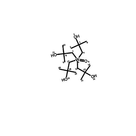 CC(C)(O)[CH2][W](=[O])([CH2]C(C)(C)O)([CH2]C(C)(C)O)[CH2]C(C)(C)O